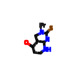 CC(C)n1cc2c(=O)cc[nH]c2nc1=S